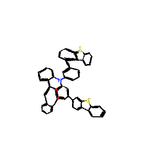 c1cc(-c2ccc3c(c2)sc2ccccc23)cc(N(c2cccc(-c3cccc4sc5ccccc5c34)c2)c2ccccc2-c2ccc3ccccc3c2)c1